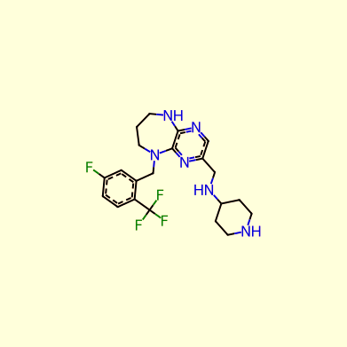 Fc1ccc(C(F)(F)F)c(CN2CCCNc3ncc(CNC4CCNCC4)nc32)c1